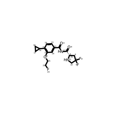 O=C(NC(=O)[C@@H]1CC(F)(F)CN1)c1ccc(C2CC2)c(OCCF)c1